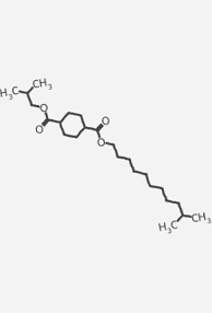 CC(C)CCCCCCCCCOC(=O)C1CCC(C(=O)OCC(C)C)CC1